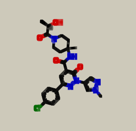 C[C@@H](O)C(=O)N1CCC(C)(NC(=O)c2cc(-c3ccc(Cl)cc3)nn(-c3cnn(C)c3)c2=O)CC1